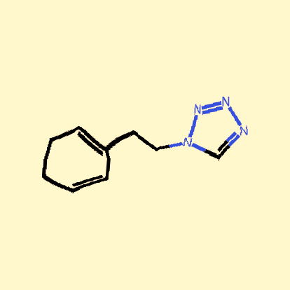 [c]1nnnn1CCC1=CCCC=C1